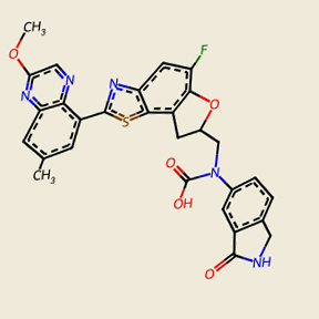 COc1cnc2c(-c3nc4cc(F)c5c(c4s3)CC(CN(C(=O)O)c3ccc4c(c3)C(=O)NC4)O5)cc(C)cc2n1